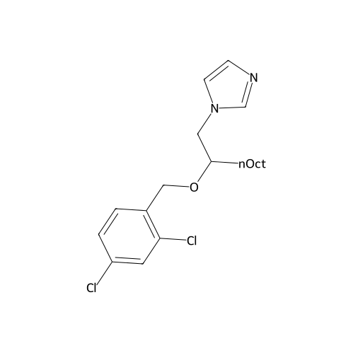 CCCCCCCCC(Cn1ccnc1)OCc1ccc(Cl)cc1Cl